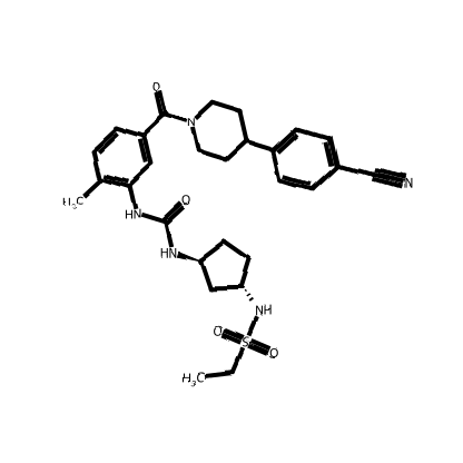 CCS(=O)(=O)N[C@H]1CC[C@H](NC(=O)Nc2cc(C(=O)N3CCC(c4ccc(C#N)cc4)CC3)ccc2C)C1